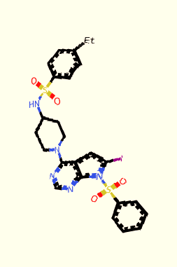 CCc1ccc(S(=O)(=O)NC2CCN(c3ncnc4c3cc(I)n4S(=O)(=O)c3ccccc3)CC2)cc1